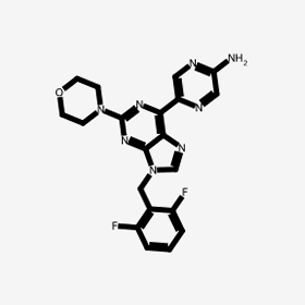 Nc1cnc(-c2nc(N3CCOCC3)nc3c2ncn3Cc2c(F)cccc2F)cn1